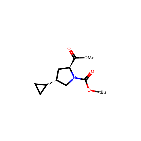 COC(=O)[C@@H]1C[C@@H](C2CC2)CN1C(=O)OC(C)(C)C